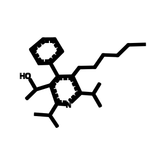 CCCCCCc1c(C(C)C)nc(C(C)C)c(C(C)O)c1-c1ccccc1